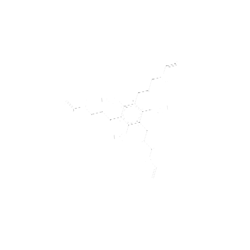 C=COCCCc1c(C(=O)O)c(CCCOC=C)c(C(=O)O)c(CCCOC=C)c1C(=O)O